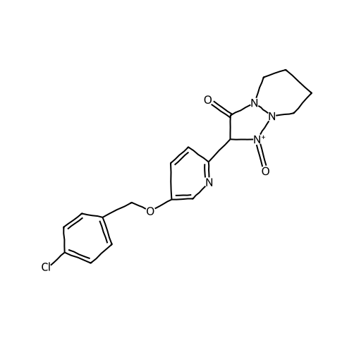 O=C1C(c2ccc(OCc3ccc(Cl)cc3)cn2)[N+](=O)N2CCCCN12